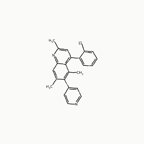 Cc1cc(-c2ccccc2Cl)c2c(C)c(-c3ccncc3)c(C)cc2n1